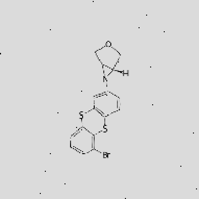 Brc1cccc2c1Sc1ccc(N3C4COC[C@@H]43)cc1S2